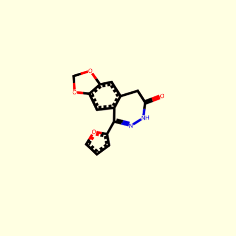 O=C1Cc2cc3c(cc2C(c2ccco2)=NN1)OCO3